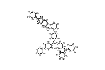 c1ccc(-c2ccc(N(c3ccc(-c4cccc5c4oc4cc6sc(-c7ccccc7)nc6cc45)cc3)c3ccc4c(c3)c3ccccc3n4-c3ccccc3)cc2)cc1